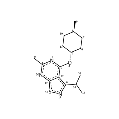 Cc1nc(O[C@H]2CC[C@H](C)CC2)c2c(C(C)C)nsc2n1